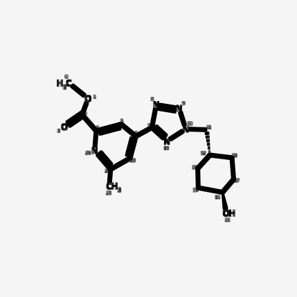 COC(=O)c1cc(-c2nnn(C[C@H]3CC[C@H](O)CC3)n2)cc(C)n1